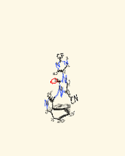 N#CC1CN(c2cnc(C(F)(F)F)nc2)C(=O)N1c1cncc2ccccc12